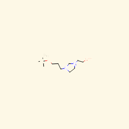 CC(C)(C)[Si](C)(C)OCCCN1CCN(CCO)C1